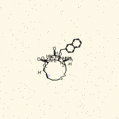 CC(C)[C@H]1NC(=O)C[C@H]2/C=C/CCSSC[C@H](C(=O)N[C@H](Cc3ccc4ccccc4c3)C(=O)NCC(=O)O2)N(N)C1=O